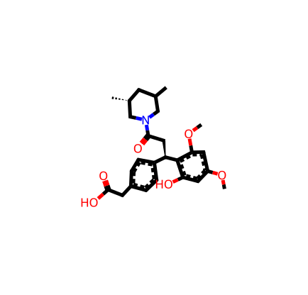 COc1cc(O)c([C@H](CC(=O)N2CC(C)C[C@@H](C)C2)c2ccc(CC(=O)O)cc2)c(OC)c1